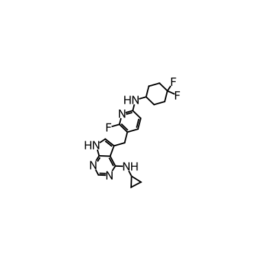 Fc1nc(NC2CCC(F)(F)CC2)ccc1Cc1c[nH]c2ncnc(NC3CC3)c12